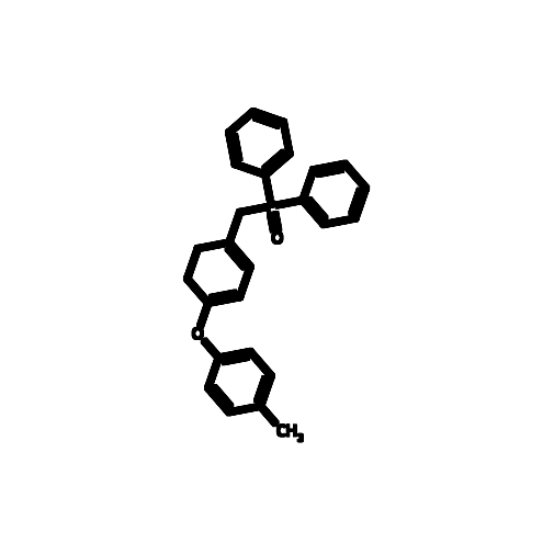 Cc1ccc(OC2=CC=C(CP(=O)(c3ccccc3)c3ccccc3)CC2)cc1